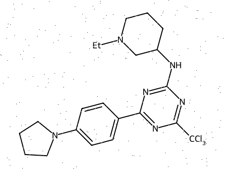 CCN1CCCC(Nc2nc(-c3ccc(N4CCCC4)cc3)nc(C(Cl)(Cl)Cl)n2)C1